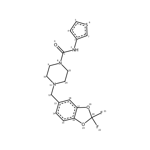 O=C(Nc1ccsc1)N1CCN(Cc2ccc3c(c2)OC(F)(F)O3)CC1